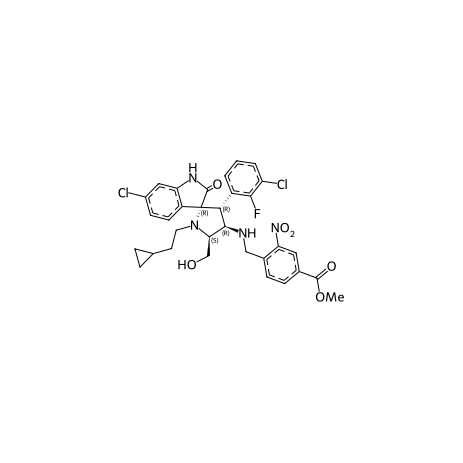 COC(=O)c1ccc(CN[C@H]2[C@@H](CO)N(CCC3CC3)[C@]3(C(=O)Nc4cc(Cl)ccc43)[C@@H]2c2cccc(Cl)c2F)c([N+](=O)[O-])c1